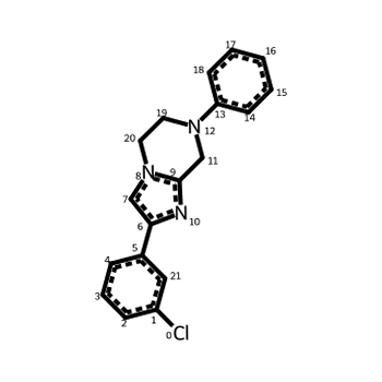 Clc1cccc(-c2cn3c(n2)CN(c2ccccc2)CC3)c1